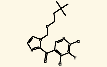 CS(C)(C)CCOCn1ccnc1C(=O)c1cnc(Cl)c(F)c1Cl